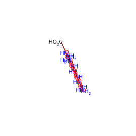 NC(=O)[C@H](CCCCNC(=O)COCCOCCNC(=O)COCCOCCNC(=O)COCCOCCNC(=O)COCCOCCNC(=O)COCCOCCNC(=O)[C@@H](N)CCCCNC(=O)[C@@H](N)CCCCNC(=O)CCCCCCCCCCCCCCCCCCC(=O)O)NI